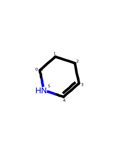 [CH]1CCC=CN1